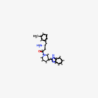 Cc1cccc(C[C@@H](N)CC(=O)N2CCCC(c3nc4ccccc4[nH]3)C2)c1